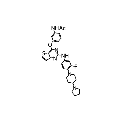 CC(=O)Nc1cccc(Oc2nc(Nc3ccc(N4CCC(N5CCCC5)CC4)c(F)c3)nc3ccsc23)c1